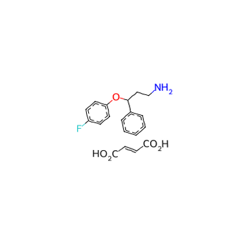 NCCC(Oc1ccc(F)cc1)c1ccccc1.O=C(O)C=CC(=O)O